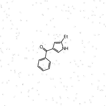 CCc1cc(C(=O)c2ccccc2)c[nH]1